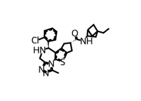 CCC12CC(C1)C(NC(=O)[C@@H]1Cc3sc4c(c3C1)[C@H](c1ccccc1Cl)NCc1nnc(C)n1-4)C2